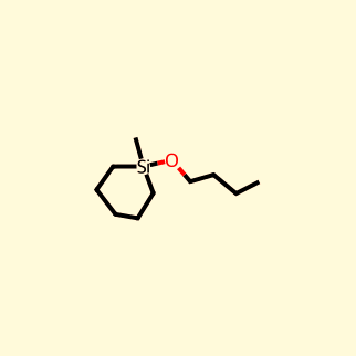 CCCCO[Si]1(C)CCCCC1